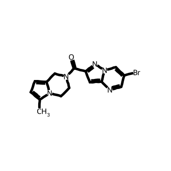 Cc1ccc2n1CCN(C(=O)c1cc3ncc(Br)cn3n1)C2